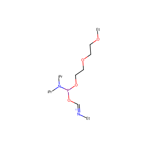 CC/N=C/OP(OCCOCCOCC)N(C(C)C)C(C)C